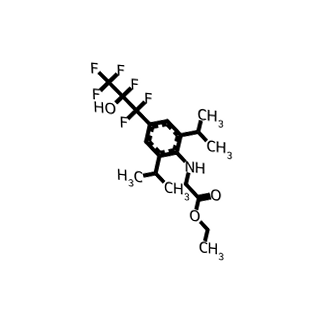 CCOC(=O)CNc1c(C(C)C)cc(C(F)(F)C(O)(F)C(F)(F)F)cc1C(C)C